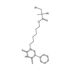 CC(C)CC(C)(C(=O)OCCCCCCn1cc(-c2ccccc2)c(=S)[nH]c1=S)C(C)C